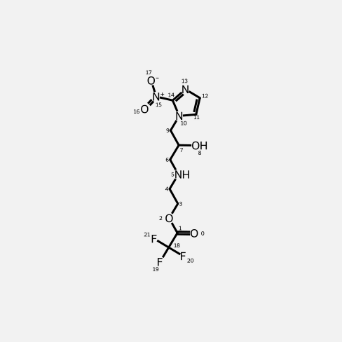 O=C(OCCNCC(O)Cn1ccnc1[N+](=O)[O-])C(F)(F)F